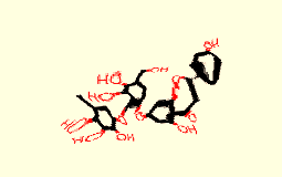 CC1CC(OC2C(Oc3cc(O)c4c(c3)O[C@H](c3ccc(O)cc3)CC4=O)CC(CO)C(O)C2O)C(O)C(O)C1O